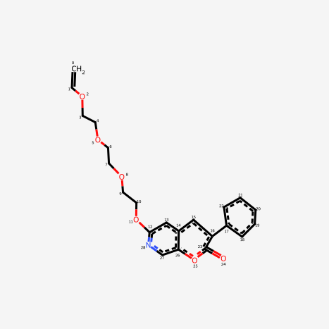 C=COCCOCCOCCOc1cc2cc(-c3ccccc3)c(=O)oc2cn1